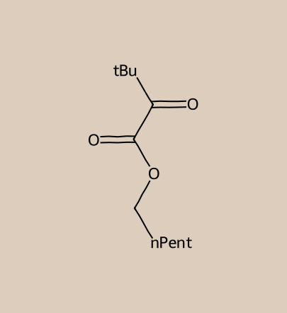 CCCCCCOC(=O)C(=O)C(C)(C)C